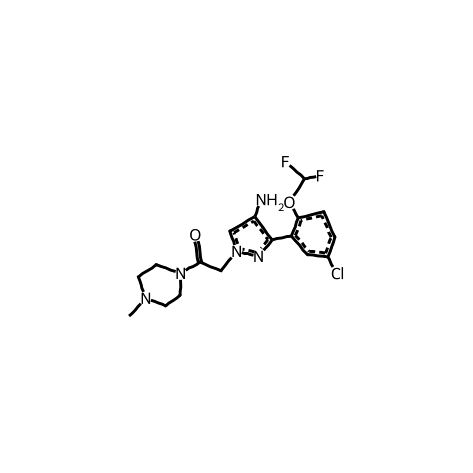 CN1CCN(C(=O)Cn2cc(N)c(-c3cc(Cl)ccc3OC(F)F)n2)CC1